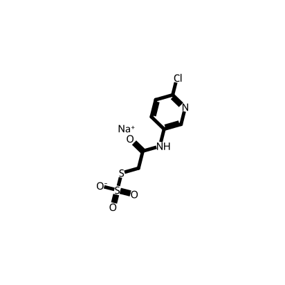 O=C(CSS(=O)(=O)[O-])Nc1ccc(Cl)nc1.[Na+]